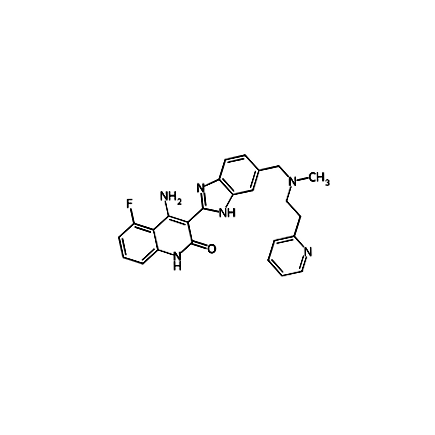 CN(CCc1ccccn1)Cc1ccc2nc(-c3c(N)c4c(F)cccc4[nH]c3=O)[nH]c2c1